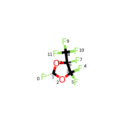 F[C@H]1OC(F)(F)[C@@](F)(C(F)(F)F)O1